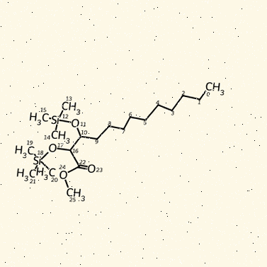 CCCCCCCCCCC(O[Si](C)(C)C)C(O[Si](C)(C)C)C(=O)OC